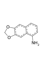 Nc1cccc2cc3c(cc12)OCO3